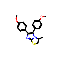 COc1ccc(-c2nc3n(c2-c2ccc(OC)cc2)C(C)CS3)cc1